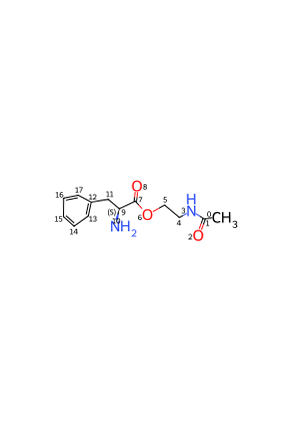 CC(=O)NCCOC(=O)[C@@H](N)Cc1ccccc1